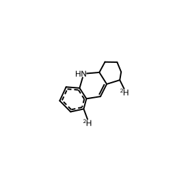 [2H]c1cccc2c1C=C1C([2H])CCCC1N2